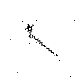 CCCCCCCCCCCCCCCCCCOC[C@H](CO)OCc1cc(C)c(Cl)c(C#N)c1